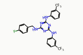 Fc1ccc(CNc2nc(Nc3cccc(C(F)(F)F)c3)nc(Nc3cccc(C(F)(F)F)c3)n2)cc1